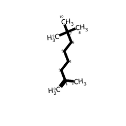 C=C(C)CCCCC(C)(C)C